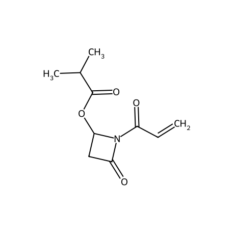 C=CC(=O)N1C(=O)CC1OC(=O)C(C)C